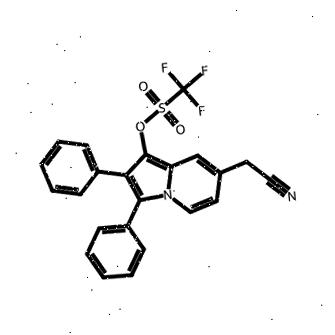 N#CCc1ccn2c(-c3ccccc3)c(-c3ccccc3)c(OS(=O)(=O)C(F)(F)F)c2c1